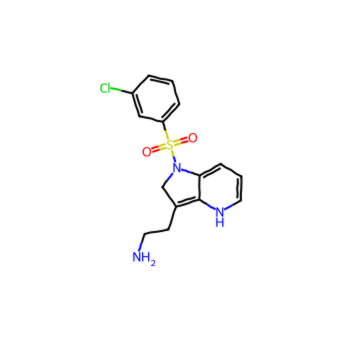 NCCC1=C2NC=CC=C2N(S(=O)(=O)c2cccc(Cl)c2)C1